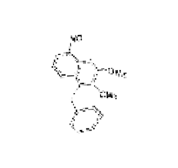 COc1cc2c(N=O)cccc2c(Cc2ccccc2)c1OC